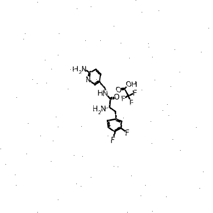 Nc1ccc(CNC(=O)[C@@H](N)Cc2ccc(F)c(F)c2)cn1.O=C(O)C(F)(F)F